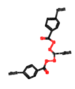 [CH2]CCCC[C](OOC(=O)c1ccc(CCCCC)cc1)OOC(=O)c1ccc(CCCCC)cc1